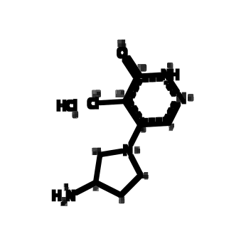 Cl.NC1CCN(c2cn[nH]c(=O)c2Cl)C1